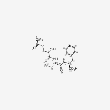 COC(=O)CCC(S)C(=O)N[C@@H](CC(C)C)C(=O)N[C@@H](Cc1ccccc1)C(=O)O